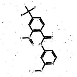 COc1cc(NC(=O)c2ccc(C(F)(F)F)cc2[N+](=O)[O-])ccn1